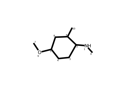 CNC1CCC(OC)CC1C